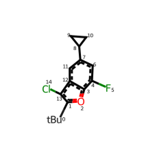 CC(C)(C)c1oc2c(F)cc(C3CC3)cc2c1Cl